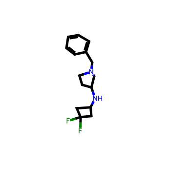 FC1(F)CC(NC2CCN(Cc3ccccc3)C2)C1